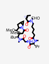 C/C=C\C(=O)N(C=O)CCCCCC(=O)N(C)[C@H](C(=O)NCC(=O)N(C)[C@@H](C(C)CC)C(CC(=O)N1C2CC2CC1C(OC)C(C)C)OC)C(C)C